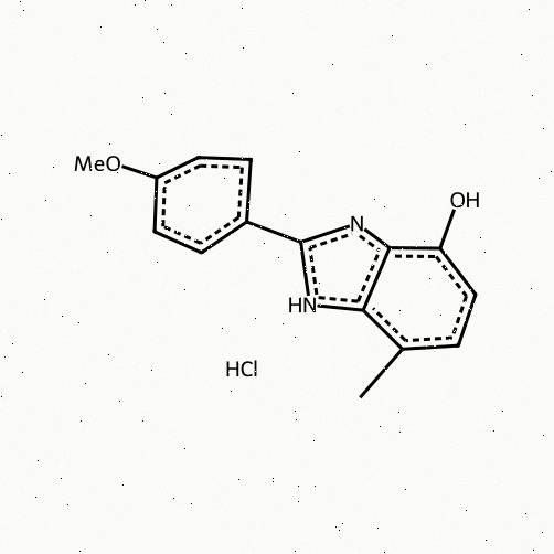 COc1ccc(-c2nc3c(O)ccc(C)c3[nH]2)cc1.Cl